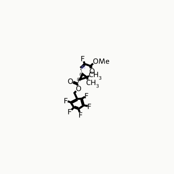 COC(=O)/C(F)=C\[C@H]1[C@@H](C(=O)OCc2c(F)c(F)c(F)c(F)c2F)C1(C)C